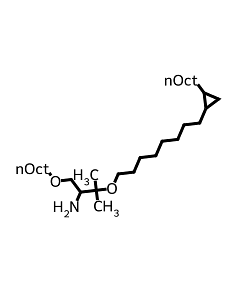 CCCCCCCCOCC(N)C(C)(C)OCCCCCCCCC1CC1CCCCCCCC